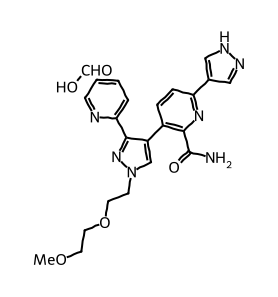 COCCOCCn1cc(-c2ccc(-c3cn[nH]c3)nc2C(N)=O)c(-c2ccccn2)n1.O=CO